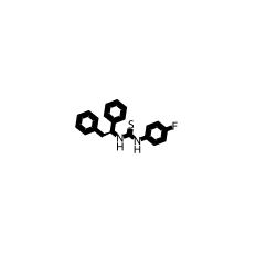 Fc1ccc(NC(=S)N[C@@H](Cc2ccccc2)c2ccccc2)cc1